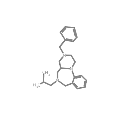 CC(C)CN1Cc2ccccc2N2CCN(Cc3ccccc3)CC2C1